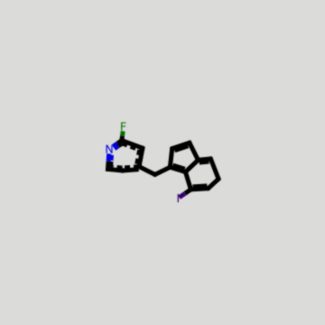 Fc1cc(CC2=C3C(I)=CCC=C3C=C2)ccn1